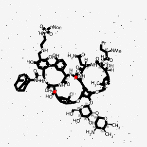 CCCCCCCCCS(=O)(=O)NCCNCc1c(O)cc2c(c1O)-c1cc(ccc1O)[C@H]1NC(=O)[C@@H]3NC(=O)[C@H](CC(N)=O)NC(=O)[C@H](NC(=O)[C@@H](CC(C)C)NC)[C@H](O)c4ccc(c(C)c4)Oc4cc3cc(c4O[C@@H]3O[C@H](CO)[C@@H](O)[C@H](O)[C@H]3O[C@H]3C[C@H](N)[C@H](C)[C@H](C)O3)Oc3ccc(cc3Cl)[C@@H](O)[C@H](NC1=O)C(=O)N[C@@H]2C(=O)NC1C2CC3CC(C2)CC1C3